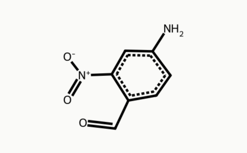 Nc1ccc(C=O)c([N+](=O)[O-])c1